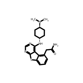 CN(C)[C@H]1CC[C@H](Nc2ncnc3sc4cccc(CC(N)=O)c4c23)CC1